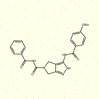 COc1ccc(C(=O)Nc2[nH]nc3c2CN(C(=O)NC(=O)c2ccccc2)C3)cc1